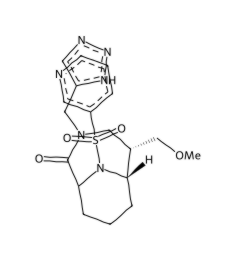 COC[C@H]1CN(Cc2cnn[nH]2)C(=O)C2CCC[C@@H]1N2S(=O)(=O)c1cccnc1